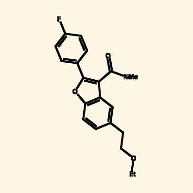 CCOCCc1ccc2oc(-c3ccc(F)cc3)c(C(=O)NC)c2c1